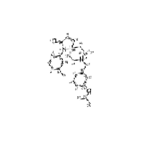 Cc1ccnc(N2C(=O)C=C[C@]23CCN(Cc2cccc(OC(C)C)c2)[C@@H](C)C3)c1